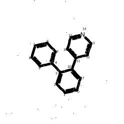 [c]1ccc(-c2ccccc2)c(-c2ccncc2)c1